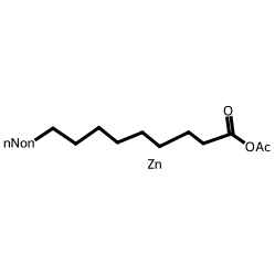 CCCCCCCCCCCCCCCCCC(=O)OC(C)=O.[Zn]